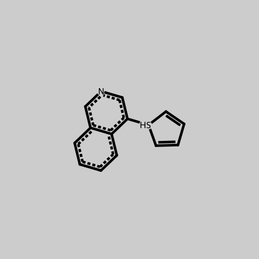 C1=C[SH](c2cncc3ccccc23)C=C1